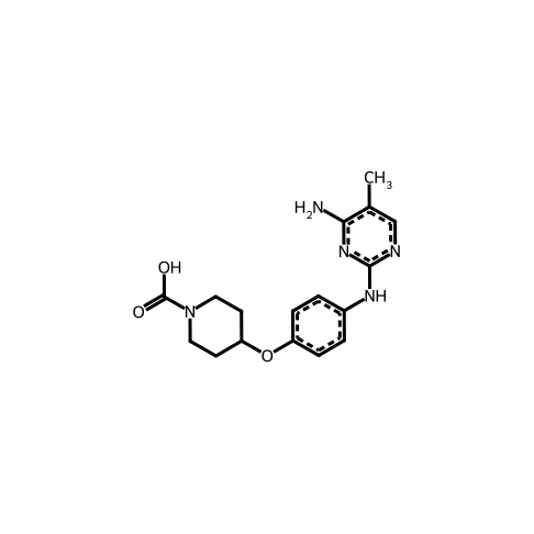 Cc1cnc(Nc2ccc(OC3CCN(C(=O)O)CC3)cc2)nc1N